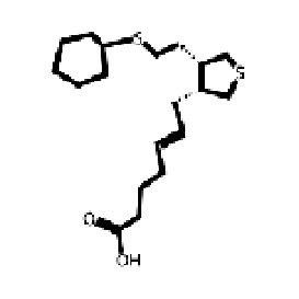 O=C(O)CCCC=CC[C@H]1CSC[C@H]1CCSC1CCCCC1